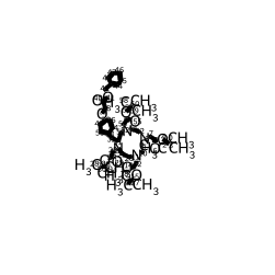 CC(C)(C)OC(=O)CN1CCN(CC(=O)OC(C)(C)C)CCN(CC(=O)OC(C)(C)C)C(Cc2ccc(OCC(=O)OCc3ccccc3)cc2)CN(CC(=O)OC(C)(C)C)CC1